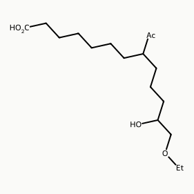 CCOCC(O)CCCC(CCCCCCC(=O)O)C(C)=O